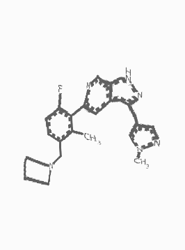 Cc1c(CN2CCC2)ccc(F)c1-c1cc2c(-c3cnn(C)c3)n[nH]c2cn1